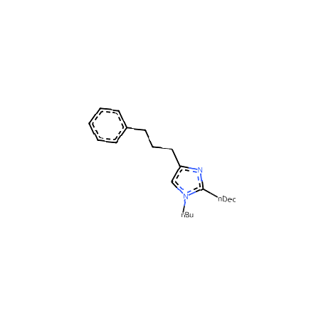 CCCCCCCCCCc1nc(CCCc2ccccc2)cn1CCCC